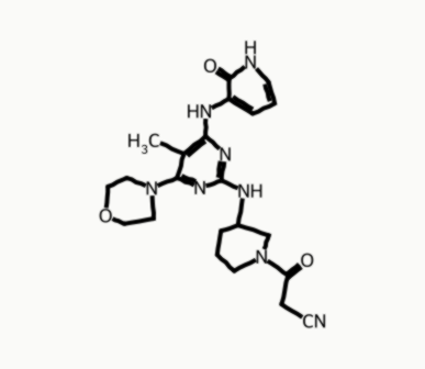 Cc1c(Nc2ccc[nH]c2=O)nc(NC2CCCN(C(=O)CC#N)C2)nc1N1CCOCC1